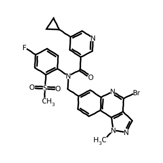 Cn1ncc2c(Br)nc3cc(CN(C(=O)c4cncc(C5CC5)c4)c4ccc(F)cc4S(C)(=O)=O)ccc3c21